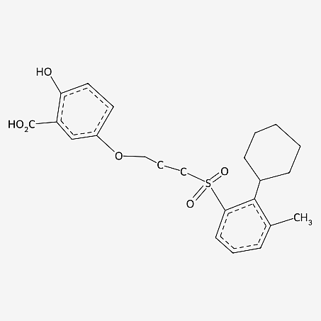 Cc1cccc(S(=O)(=O)CCCOc2ccc(O)c(C(=O)O)c2)c1C1CCCCC1